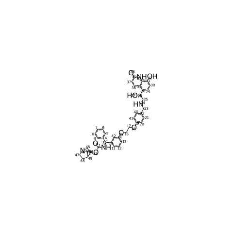 O=C(N[C@@H](c1ccccc1)c1cccc(OCCOc2ccc(CNC[C@H](O)c3ccc(O)c4[nH]c(=O)ccc34)cc2)c1)O[C@H]1CN2CCC1C2